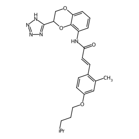 Cc1cc(OCCCC(C)C)ccc1/C=C/C(=O)Nc1cccc2c1OC(c1nnn[nH]1)CO2